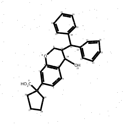 O=C(O)C1(c2ccc3c(c2)OCC(C(c2ccccc2)c2ccccc2)C3O)CCCC1